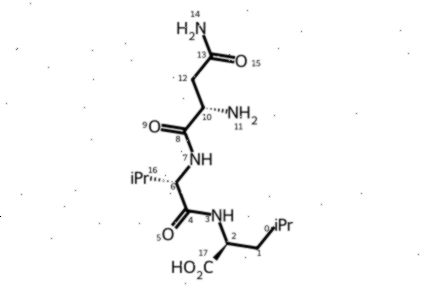 CC(C)C[C@H](NC(=O)[C@@H](NC(=O)[C@@H](N)CC(N)=O)C(C)C)C(=O)O